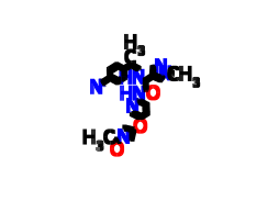 CC(=O)N1CC(Oc2ccc(NC(=O)[C@@H](NCC(C)c3ccc(C#N)cc3)c3cnn(C)c3)nc2)C1